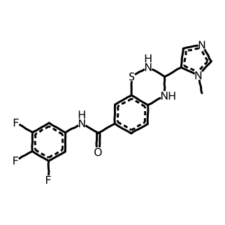 Cn1cncc1C1NSc2cc(C(=O)Nc3cc(F)c(F)c(F)c3)ccc2N1